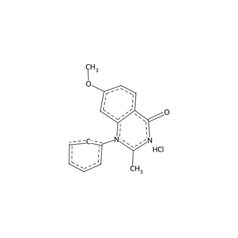 COc1ccc2c(=O)nc(C)n(-c3ccccc3)c2c1.Cl